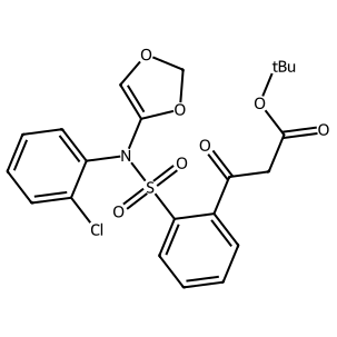 CC(C)(C)OC(=O)CC(=O)c1ccccc1S(=O)(=O)N(C1=COCO1)c1ccccc1Cl